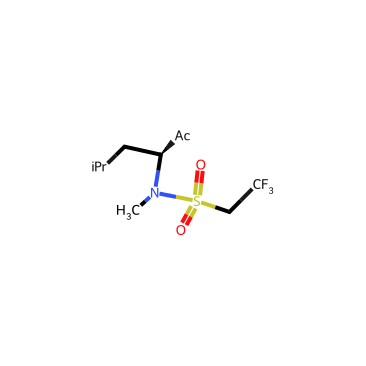 CC(=O)[C@H](CC(C)C)N(C)S(=O)(=O)CC(F)(F)F